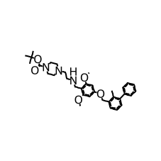 COc1cc(OCc2cccc(-c3ccccc3)c2C)cc(OC)c1CNCCN1CCN(C(=O)OC(C)(C)C)CC1